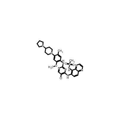 COc1cc(N2CCC(N3CCCC3)CC2)c(C)cc1Nc1ncc(Cl)c(Nc2ccc3nccnc3c2NS(C)(=O)=O)n1